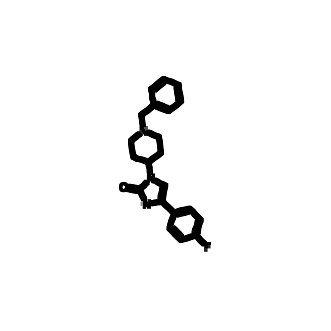 O=C1[N]C(c2ccc(F)cc2)=CN1C1CCN(Cc2ccccc2)CC1